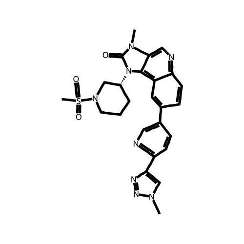 Cn1cc(-c2ccc(-c3ccc4ncc5c(c4c3)n([C@@H]3CCCN(S(C)(=O)=O)C3)c(=O)n5C)cn2)nn1